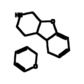 C1=CCC2C(=C1)OC1CNCCC12.C1=CCOC=C1